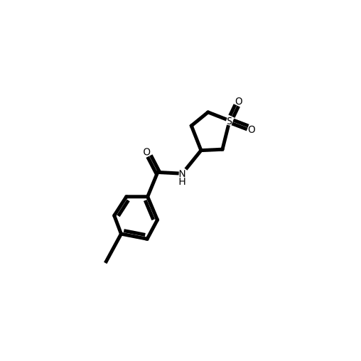 Cc1ccc(C(=O)NC2CCS(=O)(=O)C2)cc1